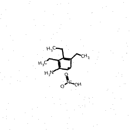 CCc1ccc(N)c(CC)c1CC.O=[N+]([O-])O